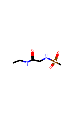 CCNC(=O)CNS(C)(=O)=O